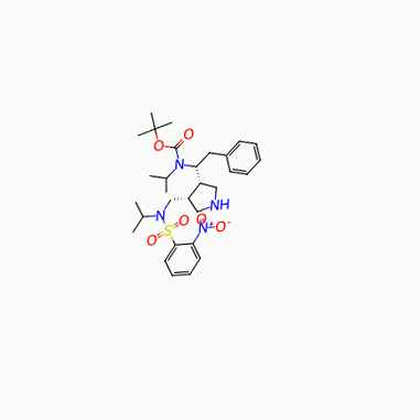 CC(C)N(C(=O)OC(C)(C)C)C(Cc1ccccc1)[C@@H]1CNC[C@@H]1CN(C(C)C)S(=O)(=O)c1ccccc1[N+](=O)[O-]